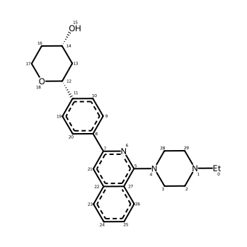 CCN1CCN(c2nc(-c3ccc([C@H]4C[C@@H](O)CCO4)cc3)cc3ccccc23)CC1